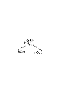 CCCCCCCC/C=C\CCCCCCCCC(O)(CCCCCCCC/C=C\CCCCCCCC)C([N+](C)(C)C)P(=O)(O)O